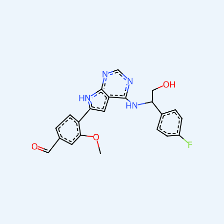 COc1cc(C=O)ccc1-c1cc2c(NC(CO)c3ccc(F)cc3)ncnc2[nH]1